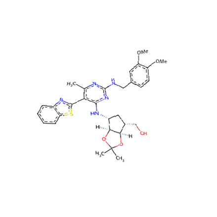 COc1ccc(CNc2nc(C)c(-c3nc4ccccc4s3)c(N[C@@H]3C[C@H](CO)[C@H]4OC(C)(C)O[C@H]43)n2)cc1OC